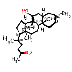 B[C@@H]1CC[C@@]2(C)[C@H](CC(O)[C@@H]3[C@@H]2CC[C@]2(C)[C@@H]([C@H](C)CCC(C)=O)CC[C@@H]32)C1